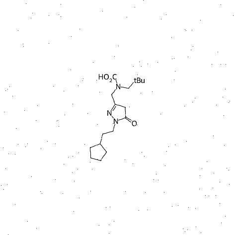 CC(C)(C)CN(CC1=NN(CCC2CCCC2)C(=O)C1)C(=O)O